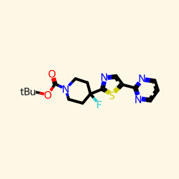 CC(C)(C)OC(=O)N1CCC(F)(c2ncc(-c3ncccn3)s2)CC1